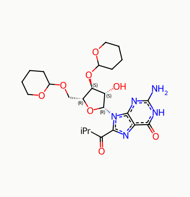 CC(C)C(=O)c1nc2c(=O)[nH]c(N)nc2n1[C@@H]1O[C@H](COC2CCCCO2)[C@@H](OC2CCCCO2)[C@@H]1O